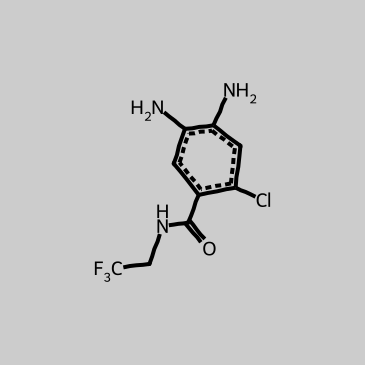 Nc1cc(Cl)c(C(=O)NCC(F)(F)F)cc1N